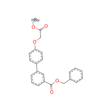 CCCCOC(=O)COc1ccc(-c2cccc(C(=O)OCc3ccccc3)c2)cc1